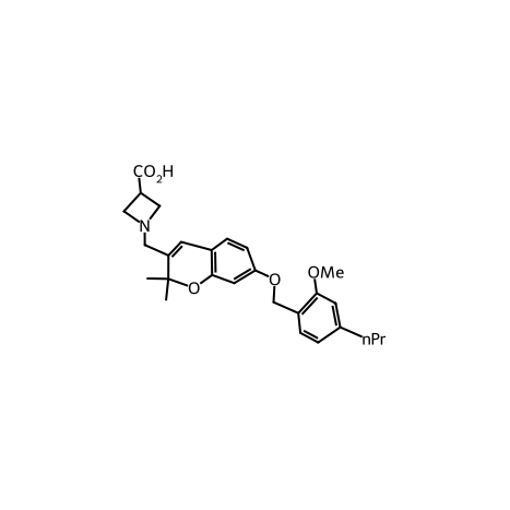 CCCc1ccc(COc2ccc3c(c2)OC(C)(C)C(CN2CC(C(=O)O)C2)=C3)c(OC)c1